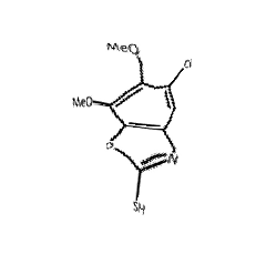 COc1c(Cl)cc2nc(S)oc2c1OC